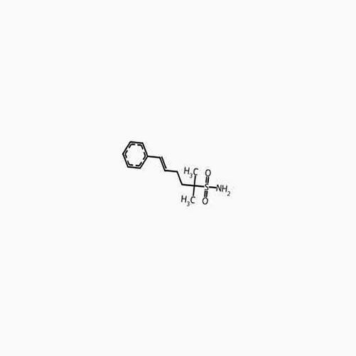 CC(C)(CC/C=C/c1ccccc1)S(N)(=O)=O